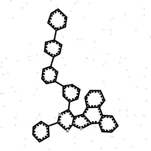 c1ccc(-c2ccc(-c3cccc(-c4cccc(-c5nc(-c6ccccc6)nc6sc7c8ccccc8c8ccccc8c7c56)c4)c3)cc2)cc1